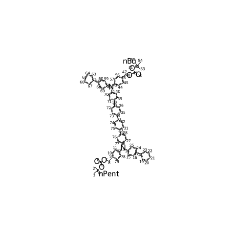 CCCCCC(C)(C)OC(=O)OCc1ccc(N(c2ccc(-c3ccccc3)cc2)c2ccc(-c3ccc(-c4ccc(-c5ccc(N(c6ccc(COC(=O)OC(C)(C)CCCC)cc6)c6ccc(-c7ccccc7)cc6)cc5)cc4)cc3)cc2)cc1